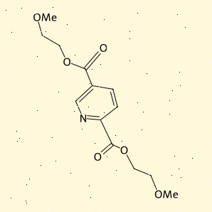 COCCOC(=O)c1ccc(C(=O)OCCOC)nc1